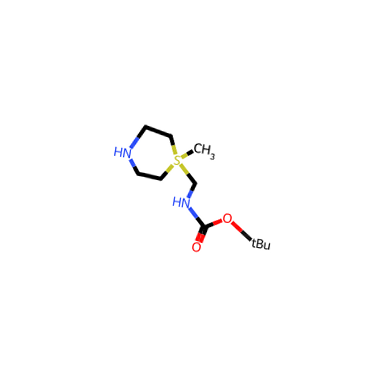 CC(C)(C)OC(=O)NCS1(C)CCNCC1